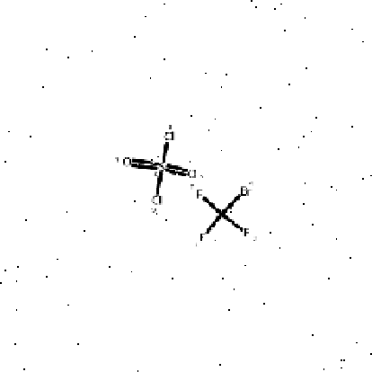 FC(F)(F)Br.O=S(=O)(Cl)Cl